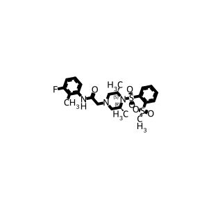 Cc1c(F)cccc1NC(=O)CN1C[C@@H](C)N(S(=O)(=O)c2ccccc2S(C)(=O)=O)[C@@H](C)C1